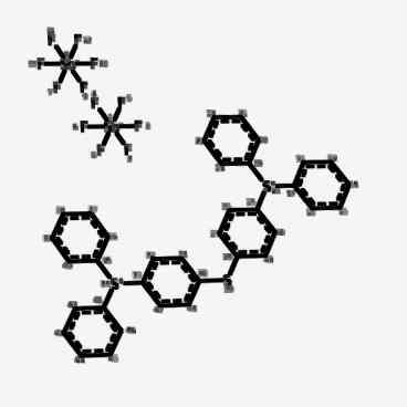 [F][Sb-]([F])([F])([F])([F])[F].[F][Sb-]([F])([F])([F])([F])[F].c1ccc([S+](c2ccccc2)c2ccc(Sc3ccc([S+](c4ccccc4)c4ccccc4)cc3)cc2)cc1